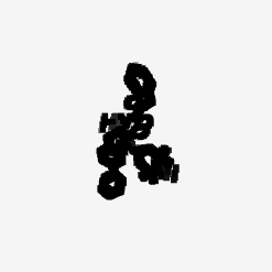 CC1(C)CC(NC(=O)C(Cc2ccc(-c3ccccc3)cc2)NC(=O)c2cc3ccccc3o2)CC(C)(C)N1